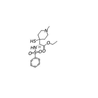 CCOC(=O)[C@H](NS(=O)(=O)c1ccccc1)C1(S)CCN(C)CC1